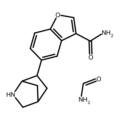 NC(=O)c1coc2ccc(C3CC4CNC3C4)cc12.NC=O